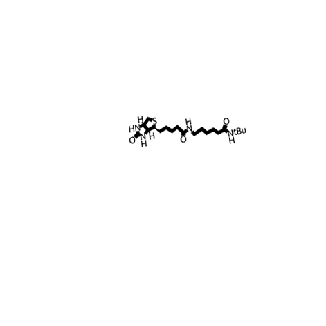 CC(C)(C)NC(=O)CCCCCNC(=O)CCCC[C@@H]1SC[C@@H]2NC(=O)N[C@@H]21